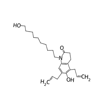 C=CCc1cc2c(c(CC=C)c1O)CCC(=O)N2CCCCCCCCCCO